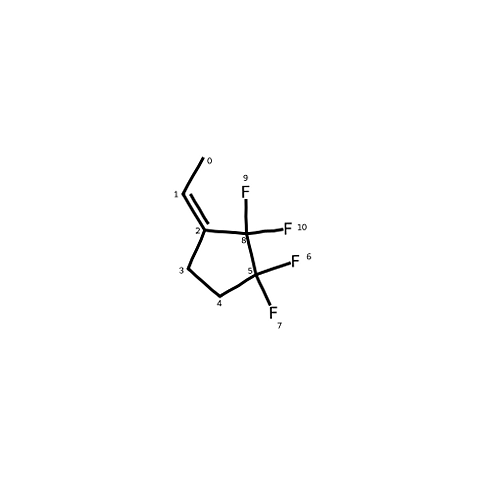 CC=C1CCC(F)(F)C1(F)F